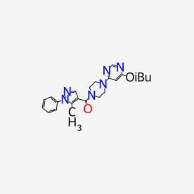 Cc1c(C(=O)N2CCN(c3cc(OCC(C)C)ncn3)CC2)cnn1-c1ccccc1